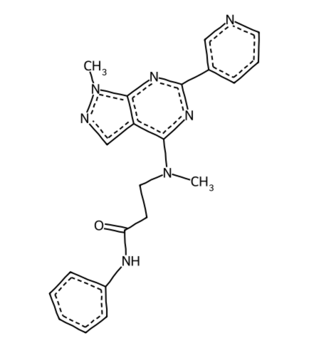 CN(CCC(=O)Nc1ccccc1)c1nc(-c2cccnc2)nc2c1cnn2C